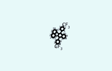 FC(F)(F)c1ccc(-c2c3c(c(-c4ccc(C(F)(F)F)cc4)c4ccccc24)-c2cccc4cccc-3c24)cc1